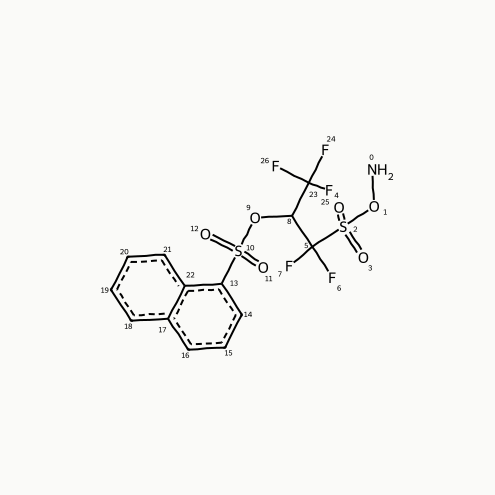 NOS(=O)(=O)C(F)(F)C(OS(=O)(=O)c1cccc2ccccc12)C(F)(F)F